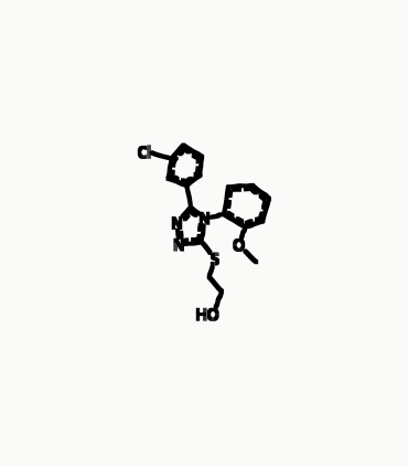 COc1ccccc1-n1c(SCCO)nnc1-c1cccc(Cl)c1